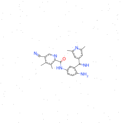 Cc1cc(C(=N)c2cc(NC(=O)c3ncc(C#N)c(C)c3C)ccc2N)cc(C)n1